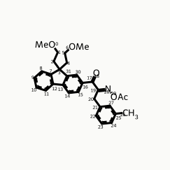 COCCC1(CCOC)c2ccccc2-c2ccc(C(=O)/C(Cc3cccc(C)c3)=N/OC(C)=O)cc21